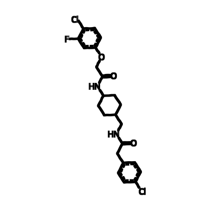 O=C(Cc1ccc(Cl)cc1)NCC1CCC(NC(=O)COc2ccc(Cl)c(F)c2)CC1